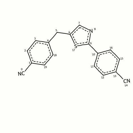 N#Cc1ccc(Cc2cnc(-c3ccc(C#N)cc3)s2)cc1